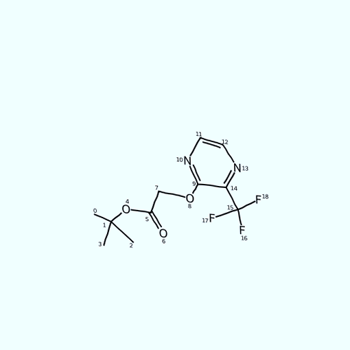 CC(C)(C)OC(=O)COc1nccnc1C(F)(F)F